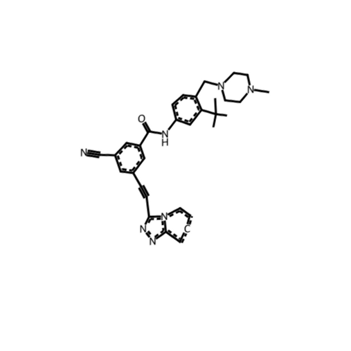 CN1CCN(Cc2ccc(NC(=O)c3cc(C#N)cc(C#Cc4nnc5ccccn45)c3)cc2C(C)(C)C)CC1